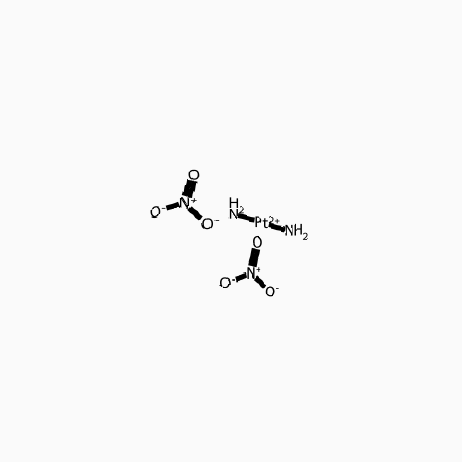 O=[N+]([O-])[O-].O=[N+]([O-])[O-].[NH2][Pt+2][NH2]